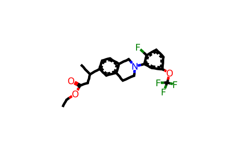 CCOC(=O)CC(C)c1ccc2c(c1)CCN(c1cc(OC(F)(F)F)ccc1F)C2